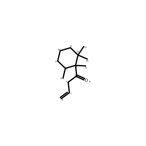 C=CCC(=O)C1(C)C(C)CCCC1(C)C